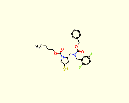 CCCCOC(=O)N1C[C@H](S)C[C@H]1CN(Cc1cc(F)ccc1F)C(=O)OCc1ccccc1